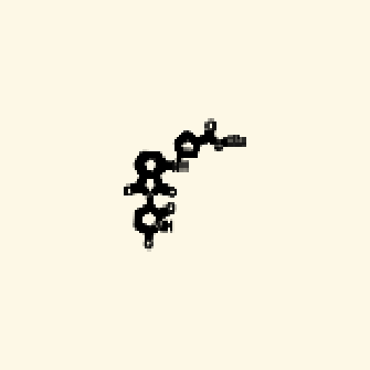 CC(C)(C)OC(=O)C1CC[C@H](Nc2cccc3c2C(=O)N(C2CCC(=O)NC2=O)C3=O)C1